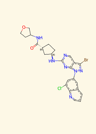 O=C(NC1CCOC1)[C@@H]1CC[C@@H](Nc2ncc3c(Br)nn(-c4cc(Cl)c5ncccc5c4)c3n2)C1